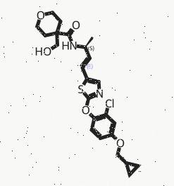 C[C@@H](/C=C/c1cnc(Oc2ccc(OCC3CC3)cc2Cl)s1)NC(=O)C1(CO)CCOCC1